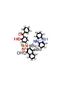 CCCCc1c(S(=O)(=O)Oc2ccc(C(=O)c3ccccc3)c(O)c2)c(C=O)c2ccccc2c1CCCC.[N-]=[N+]1c2ccccc2Nc2ccccc21